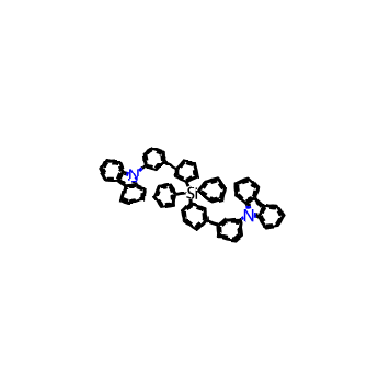 c1ccc([Si](c2ccccc2)(c2cccc(-c3cccc(-n4c5ccccc5c5ccccc54)c3)c2)c2cccc(-c3cccc(-n4c5ccccc5c5ccccc54)c3)c2)cc1